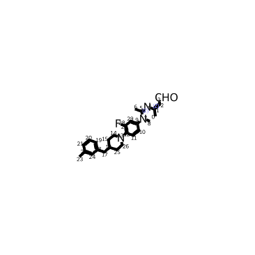 CC(=C/C=O)/N=C(/C)N(C)c1ccc(N2CCC(Cc3cccc(C)c3)CC2)c(F)c1